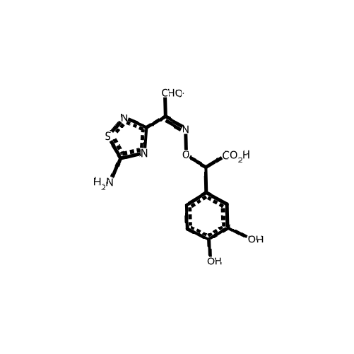 Nc1nc(C([C]=O)=NOC(C(=O)O)c2ccc(O)c(O)c2)ns1